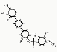 CCCc1ccc(-c2ccc(-c3cc(F)c(OC(F)(F)c4ccc(OC(F)(F)F)c(F)c4)c(F)c3)cc2)c(F)c1F